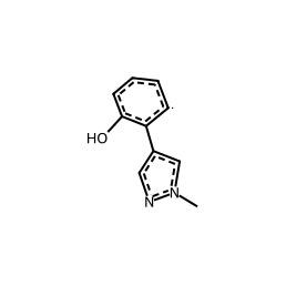 Cn1cc(-c2[c]cccc2O)cn1